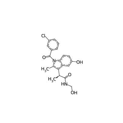 Cc1c([C@H](C)C(=O)NCO)c2cc(O)ccc2n1C(=O)c1cccc(Cl)c1